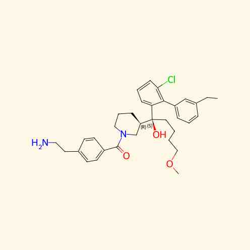 CCc1cccc(-c2c(Cl)cccc2[C@](O)(CCCCOC)[C@@H]2CCCN(C(=O)c3ccc(CCN)cc3)C2)c1